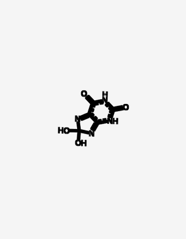 O=c1[nH]c(=O)c2c([nH]1)=NC(O)(O)N=2